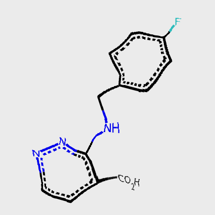 O=C(O)c1ccnnc1NCc1ccc(F)cc1